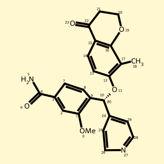 COc1cc(C(N)=O)ccc1[C@H](Oc1ccc2c(c1C)OCCC2=O)c1ccncc1